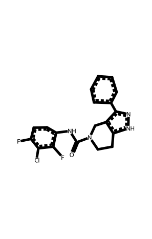 O=C(Nc1ccc(F)c(Cl)c1F)N1CCc2[nH]nc(-c3ccccc3)c2C1